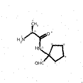 C[C@H](N)C(=O)NC1([C]=O)CCCC1